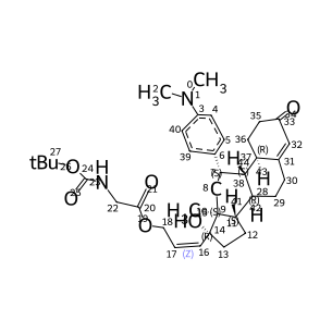 CN(C)c1ccc([C@H]2C[C@@]3(C)[C@@H](CC[C@@]3(O)/C=C\COC(=O)CNC(=O)OC(C)(C)C)[C@@H]3CCC4=CC(=O)CC[C@@H]4[C@H]32)cc1